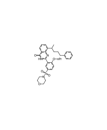 CCCOc1ccc(S(=O)(=O)N2CCOCC2)cc1-c1nc2c(C(C)CCCc3ccccc3)cccc2c(=O)[nH]1